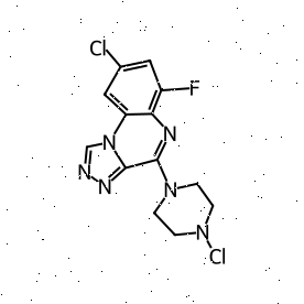 Fc1cc(Cl)cc2c1nc(N1CCN(Cl)CC1)c1nncn12